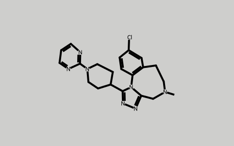 CN1CCc2cc(Cl)ccc2-n2c(nnc2C2CCN(c3ncccn3)CC2)C1